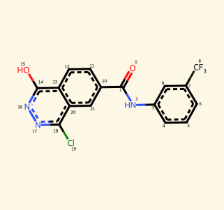 O=C(Nc1cccc(C(F)(F)F)c1)c1ccc2c(O)nnc(Cl)c2c1